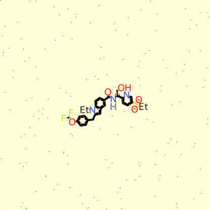 CCn1c(Cc2ccc(OC(F)F)cc2)cc2cc(C(=O)N[C@@H](CO)c3ccc(S(=O)(=O)CC)cn3)ccc21